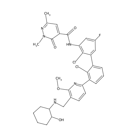 COc1nc(-c2cccc(-c3cc(F)cc(NC(=O)c4cc(C)nn(C)c4=O)c3Cl)c2Cl)ccc1CNC1CCCCC1O